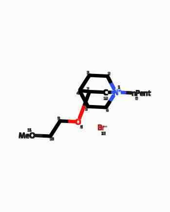 CCCCC[N+]12CCC(CC1)C(OCCOC)C2.[Br-]